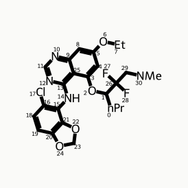 CCCC(Oc1cc(OCC)cc2ncnc(Nc3c(Cl)ccc4c3OCO4)c12)C(F)(F)CNC